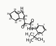 CC(C)(C)c1ccccc1NC(=O)C(=O)c1c[nH]c2ccccc12